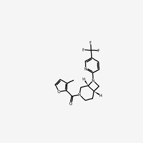 Cc1ccoc1C(=O)N1CC[C@H]2CN(c3ccc(C(F)(F)F)cn3)[C@H]2C1